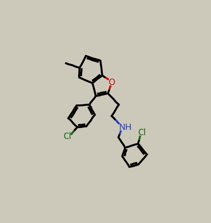 Cc1ccc2oc(CCNCc3ccccc3Cl)c(-c3ccc(Cl)cc3)c2c1